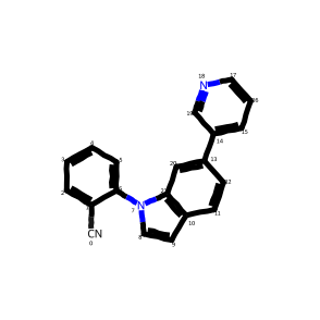 N#Cc1ccccc1-n1ccc2ccc(-c3cccnc3)cc21